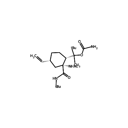 C=C[C@@H]1CC[C@H](C(C)(OC(N)=O)C(C)(C)C)[C@@](NC(C)=O)(C(=O)NC(C)(C)C)C1